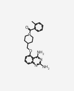 Cc1ccccc1C(=O)N1CCC(COc2cccc3nc(N)nc(N)c23)CC1